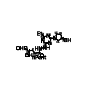 CCCCC[C@H](CN(O)C=O)C(=O)NNc1nc(CC)nc(N2CC[C@@H](O)C2)n1